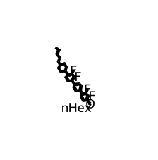 C/C=C/CCC1CCC(c2ccc(-c3ccc(-c4ccc(OCCCCCC)c(F)c4F)cc3)c(F)c2F)CC1